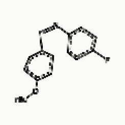 CCCCOc1ccc(/C=N\c2ccc(F)cc2)cc1